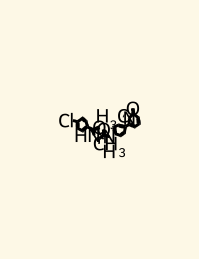 C[C@@H](NC(=O)c1ccc(Cl)cc1)C(=O)Nc1ccc(-c2cccc(=O)n2C)cc1